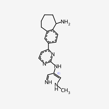 CN/C=C(\C=N)Nc1nccc(-c2ccc3c(c2)CCCCC3N)n1